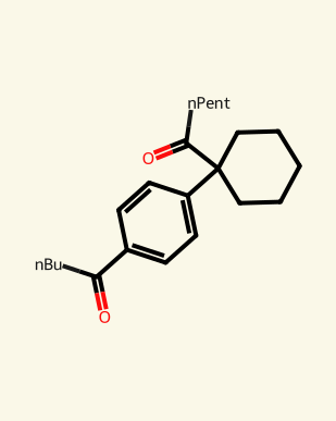 CCCCCC(=O)C1(c2ccc(C(=O)CCCC)cc2)CCCCC1